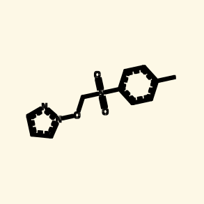 Cc1ccc(S(=O)(=O)COn2cccn2)cc1